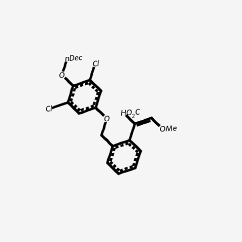 CCCCCCCCCCOc1c(Cl)cc(OCc2ccccc2/C(=C\OC)C(=O)O)cc1Cl